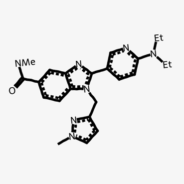 CCN(CC)c1ccc(-c2nc3cc(C(=O)NC)ccc3n2Cc2ccn(C)n2)cn1